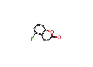 O=c1ccc2c(F)cccc2o1